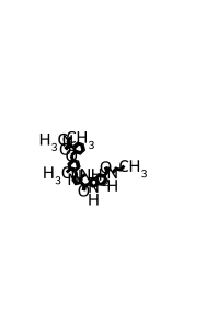 CCCNC(=O)c1ccc2[nH]c(C(=O)c3cnn(-c4ccc(Oc5ccccc5C(=O)N(C)C)cc4C)c3N)cc2c1